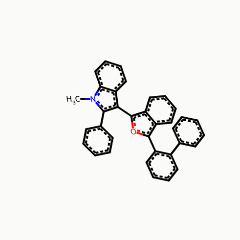 Cn1c(-c2ccccc2)c(-c2oc(-c3ccccc3-c3ccccc3)c3ccccc23)c2ccccc21